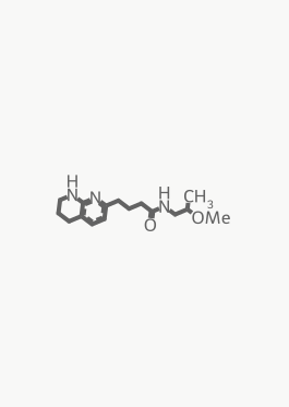 COC(C)CNC(=O)CCCc1ccc2c(n1)NCCC2